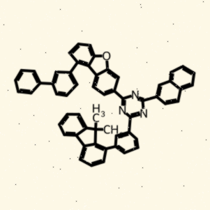 CC1(C)c2ccccc2-c2cccc(-c3cccc(-c4nc(-c5ccc6ccccc6c5)nc(-c5ccc6c(c5)oc5cccc(-c7cccc(-c8ccccc8)c7)c56)n4)c3)c21